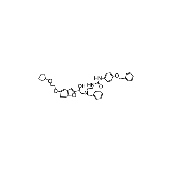 O=C(NCCN(Cc1ccccc1)CC(O)c1cc2cc(OCCOC3CCCC3)ccc2o1)Nc1ccc(OCc2ccccc2)cc1